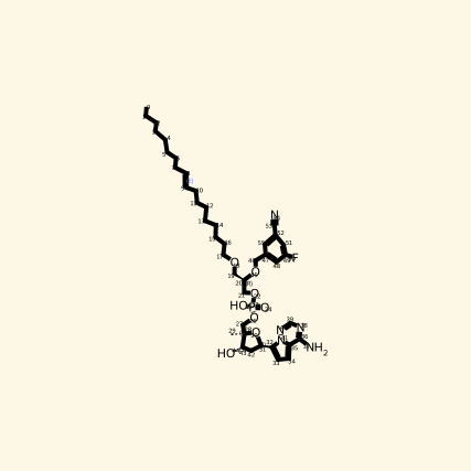 CCCCCCCC/C=C/CCCCCCCCOC[C@H](COP(=O)(O)OC[C@@]1(C)O[C@@H](c2ccc3c(N)ncnn23)C[C@@H]1O)OCc1cc(F)cc(C#N)c1